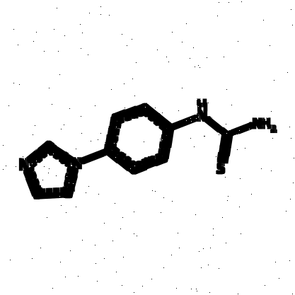 NC(=S)Nc1ccc(-n2ccnc2)cc1